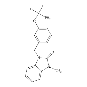 Cn1c(=O)n(Cc2cccc(OC(F)(F)P)c2)c2ccccc21